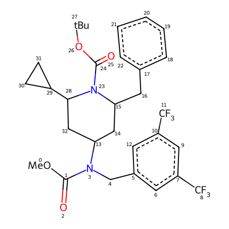 COC(=O)N(Cc1cc(C(F)(F)F)cc(C(F)(F)F)c1)C1CC(Cc2ccccc2)N(C(=O)OC(C)(C)C)C(C2CC2)C1